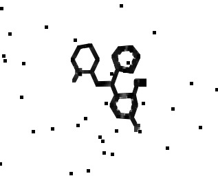 CN1CCCCC1C=C(c1ccccc1)c1ccc(F)cc1O